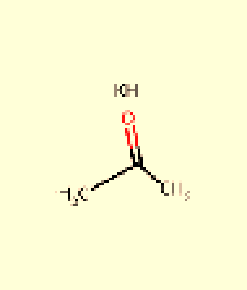 [CH2]C(C)=O.[KH]